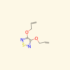 C=CCOc1nsnc1OCC=C